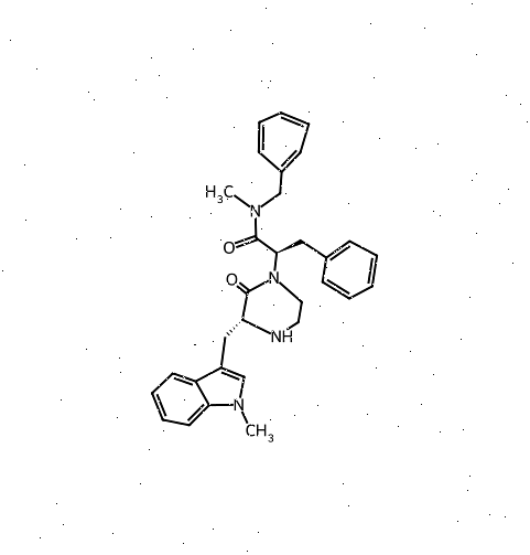 CN(Cc1ccccc1)C(=O)[C@@H](Cc1ccccc1)N1CCN[C@H](Cc2cn(C)c3ccccc23)C1=O